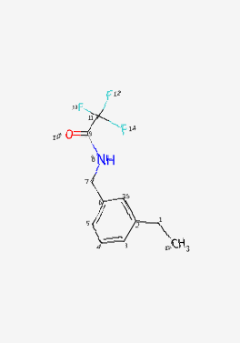 CCc1cccc(CNC(=O)C(F)(F)F)c1